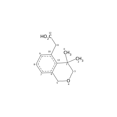 CC1(C)COCc2cccc(CC(=O)O)c21